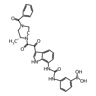 C[C@@H]1CN(C(=O)c2ccccc2)CCN1C(=O)C(=O)c1c[nH]c2c(NC(=O)Nc3cccc(B(O)O)c3)cccc12